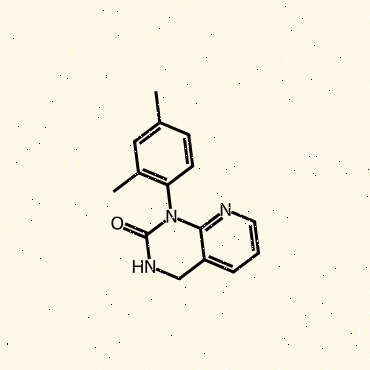 Cc1ccc(N2C(=O)NCc3cccnc32)c(C)c1